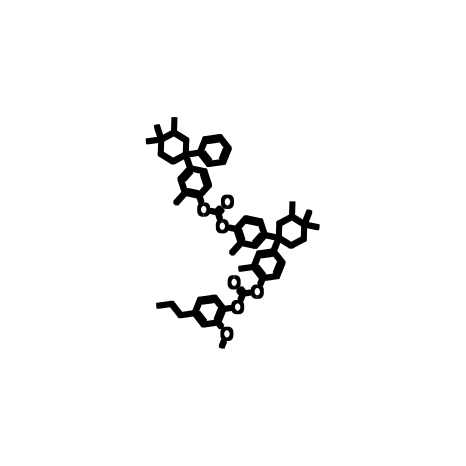 CCCc1ccc(OC(=O)Oc2ccc(C3(c4ccc(OC(=O)Oc5ccc(C6(c7ccccc7)CCC(C)(C)C(C)C6)cc5C)c(C)c4)CCC(C)(C)C(C)C3)cc2C)c(OC)c1